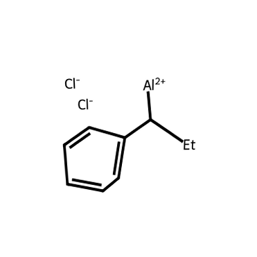 CC[CH]([Al+2])c1ccccc1.[Cl-].[Cl-]